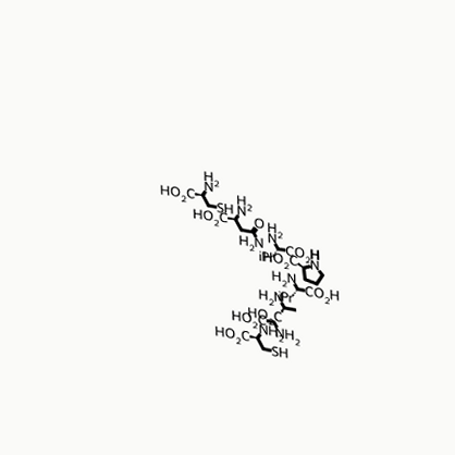 CC(C)[C@H](N)C(=O)O.CC(C)[C@H](N)C(=O)O.C[C@H](N)C(=O)O.NC(=O)C[C@H](N)C(=O)O.NCC(=O)O.N[C@@H](CS)C(=O)O.N[C@@H](CS)C(=O)O.O=C(O)[C@@H]1CCCN1